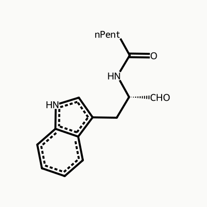 CCCCCC(=O)N[C@H](C=O)Cc1c[nH]c2ccccc12